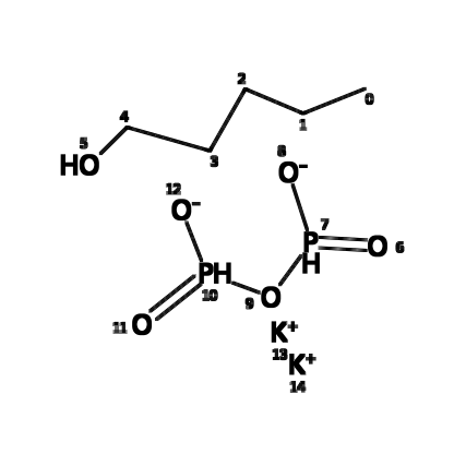 CCCCCO.O=[PH]([O-])O[PH](=O)[O-].[K+].[K+]